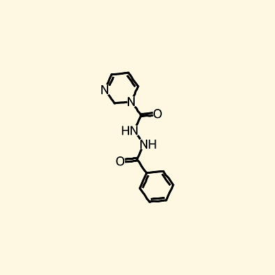 O=C(NNC(=O)N1C=CC=NC1)c1ccccc1